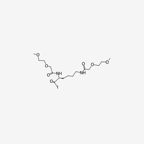 COCCOCC(=O)NCCCC[C@H](NC(=O)COCCOC)C(=O)I